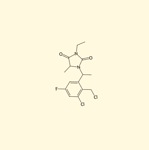 CCN1C(=O)C(C)N(C(C)c2cc(F)cc(Cl)c2CCl)C1=O